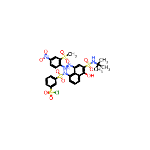 CC(C)(C)NS(=O)(=O)c1cc(/N=N/c2ccc([N+](=O)[O-])cc2S(C)(=O)=O)c2c(NS(=O)(=O)c3cccc(S(=O)(=O)Cl)c3)cccc2c1O